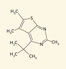 Cc1nc(C(C)(C)C)c2c(C)c(C)sc2n1